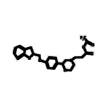 O=C(CCN1CCOC(c2ccc(OCC3Cc4ccccc4O3)cc2)C1)OC(=O)C(F)(F)F